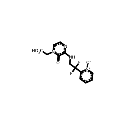 O=C(O)Cn1ccnc(NCC(F)(F)c2cccc[n+]2[O-])c1=O